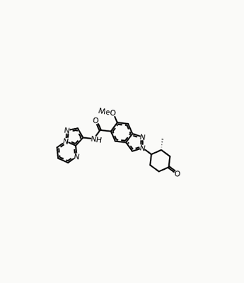 COc1cc2nn(C3CCC(=O)C[C@H]3C)cc2cc1C(=O)Nc1cnn2cccnc12